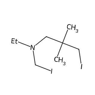 CCN(CI)CC(C)(C)CI